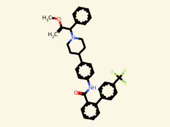 C=C(OC)C(c1ccccc1)N1CCC(c2ccc(NC(=O)c3ccccc3-c3ccc(C(F)(F)F)cc3)cc2)CC1